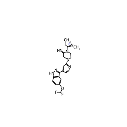 CC/C(=N/C)N1CCN(c2cc(-c3n[nH]c4ccc(OC(F)F)cc34)ccn2)CC1=N